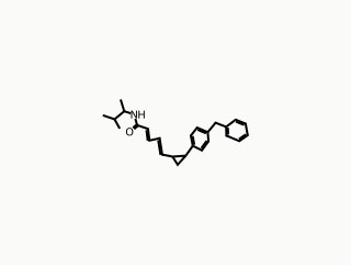 CC(C)C(C)NC(=O)C=CC=CC1CC1c1ccc(Cc2ccccc2)cc1